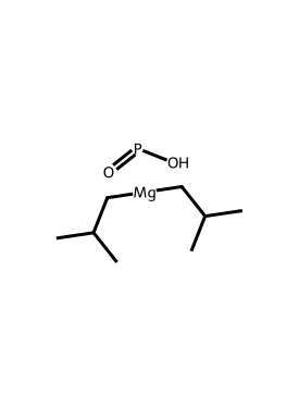 CC(C)[CH2][Mg][CH2]C(C)C.O=PO